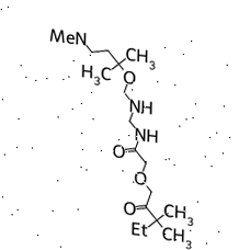 CCC(C)(C)C(=O)COCC(=O)NCNCOC(C)(C)CCNC